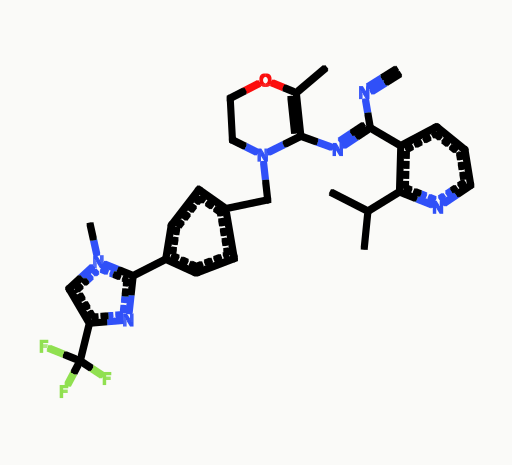 C=N/C(=N\C1=C(C)OCCN1Cc1ccc(-c2nc(C(F)(F)F)cn2C)cc1)c1cccnc1C(C)C